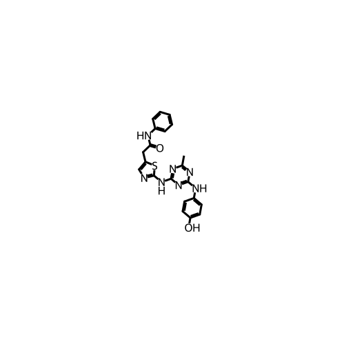 Cc1nc(Nc2ccc(O)cc2)nc(Nc2ncc(CC(=O)Nc3ccccc3)s2)n1